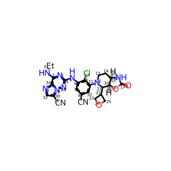 CCNc1nc(Nc2cc(C#N)cc(N3CC[C@H]4NC(=O)O[C@H]4C3C3COC3)c2Cl)nn2c(C#N)cnc12